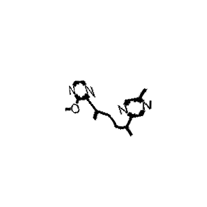 COc1nccnc1C(C)CCC(C)c1cnc(C)cn1